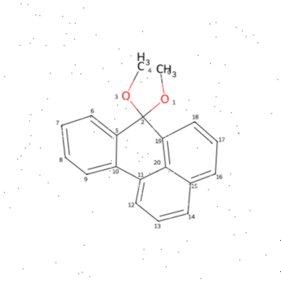 COC1(OC)c2ccccc2-c2cccc3cccc1c23